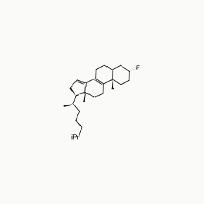 CC(C)CCC[C@@H](C)[C@H]1CC=C2C3=C(CC[C@@]21C)[C@@]1(C)CC[C@@H](F)CC1CC3